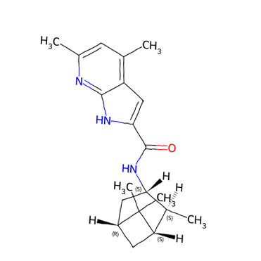 Cc1cc(C)c2cc(C(=O)N[C@H]3C[C@H]4C[C@@H]([C@@H]3C)C4(C)C)[nH]c2n1